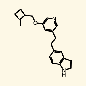 c1cc2c(cc1CCc1cncc(OC[C@@H]3CCN3)c1)CCN2